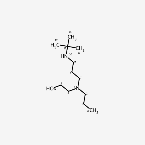 CCCN(CCO)CCCNC(C)(C)C